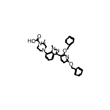 C[C@H]1CN(c2cccc3c(-c4ccc(OCc5ccccc5)nc4OCc4ccccc4)nn(C)c23)CCN1C(=O)O